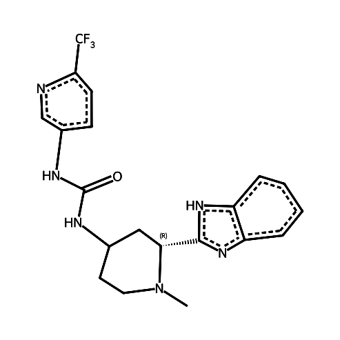 CN1CCC(NC(=O)Nc2ccc(C(F)(F)F)nc2)C[C@@H]1c1nc2ccccc2[nH]1